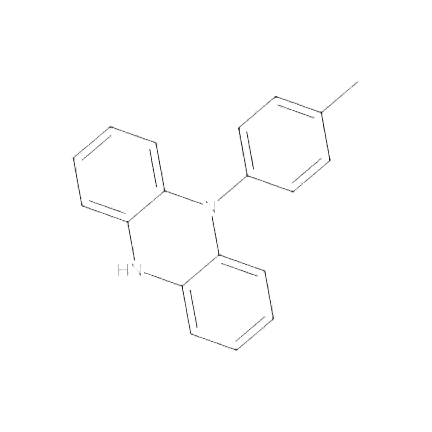 Cc1ccc(N2c3ccccc3Nc3ccccc32)cc1